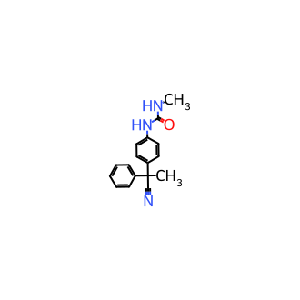 CNC(=O)Nc1ccc(C(C)(C#N)c2ccccc2)cc1